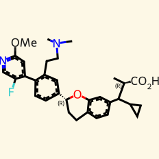 COc1cc(-c2ccc([C@H]3CCc4ccc(C(C5CC5)[C@@H](C)C(=O)O)cc4O3)cc2CCN(C)C)c(F)cn1